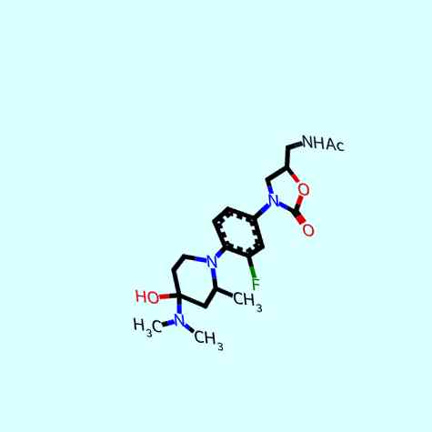 CC(=O)NCC1CN(c2ccc(N3CCC(O)(N(C)C)CC3C)c(F)c2)C(=O)O1